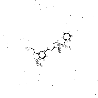 CCCc1cc(CC[C@H]2CCN([C@@H](C)c3ccccc3)C2=O)ccc1OC